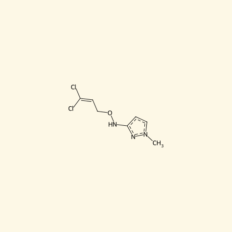 Cn1ccc(NOCC=C(Cl)Cl)n1